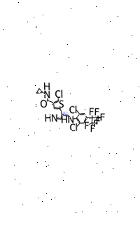 N=C/C(=C\Nc1c(Cl)cc(C(F)(C(F)(F)F)C(F)(F)F)cc1Cl)c1cc(C(=O)NC2CC2)c(Cl)s1